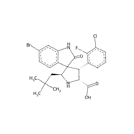 CC(C)(C)C[C@@H]1N[C@@H](C(=O)O)[C@@H](c2cccc(Cl)c2F)C12C(=O)Nc1cc(Br)ccc12